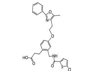 Cc1oc(-c2ccccc2)nc1CCOc1ccc(CCC(=O)O)c(CNC(=O)c2ccc(Cl)s2)c1